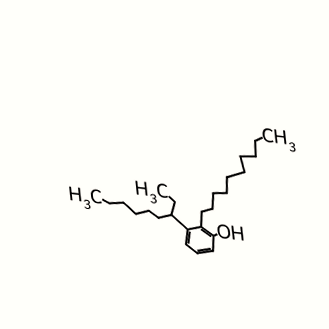 CCCCCCCCCCc1c(O)cccc1C(CC)CCCCCC